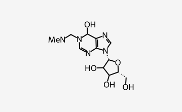 CNCN1C=Nc2c(ncn2[C@@H]2O[C@H](CO)C(O)C2O)C1O